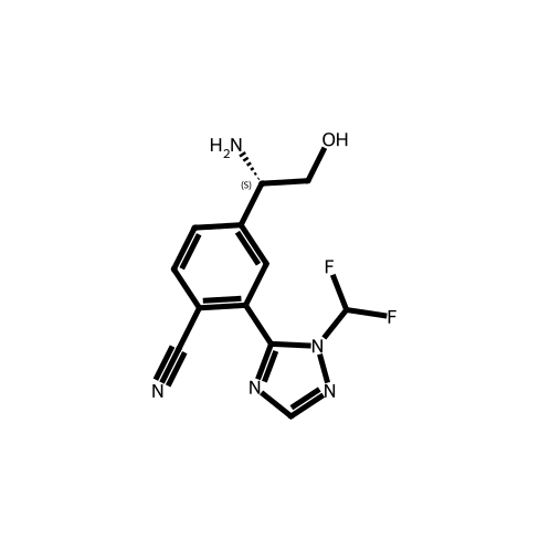 N#Cc1ccc([C@H](N)CO)cc1-c1ncnn1C(F)F